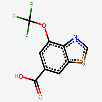 O=C(O)c1cc(OC(F)(F)F)c2ncsc2c1